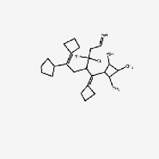 CCCCC1C(C)C(C)C1C(=C1CCC1)C(CC(=C1CCC1)C1CCCC1)C(CC)(CC)CC=N